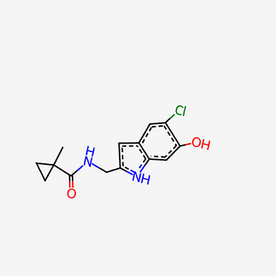 CC1(C(=O)NCc2cc3cc(Cl)c(O)cc3[nH]2)CC1